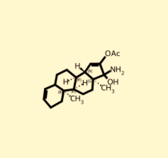 CC(=O)OC1=C[C@H]2[C@@H]3CCC4C=CCC[C@]4(C)[C@@H]3CC[C@]2(C)C1(N)O